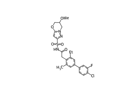 CCc1cc(-c2ccc(Cl)c(F)c2)cc(C)c1CC(=O)NS(=O)(=O)c1cc2n(n1)CC(OC)CO2